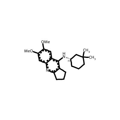 COc1cc2nc3c(c(N[C@H]4CCCC(C)(C)C4)c2cc1OC)CCC3